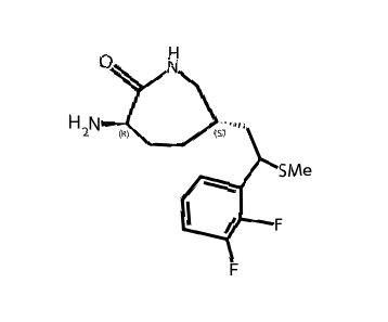 CSC(C[C@@H]1CC[C@@H](N)C(=O)NC1)c1cccc(F)c1F